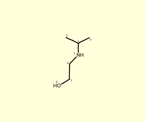 C[C](C)NCCO